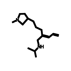 C=C/C=C(\CCCC1CCN(C)C1)CNC(C)C